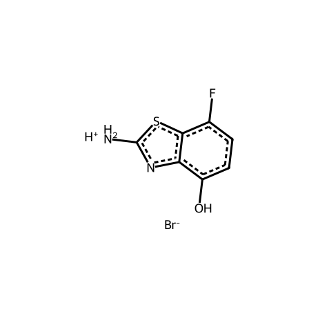 Nc1nc2c(O)ccc(F)c2s1.[Br-].[H+]